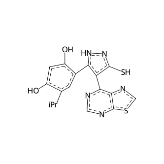 CC(C)c1cc(-c2[nH]nc(S)c2-c2ncnc3scnc23)c(O)cc1O